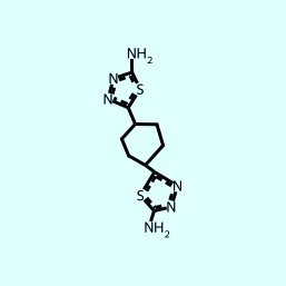 Nc1nnc(C2CCC(c3nnc(N)s3)CC2)s1